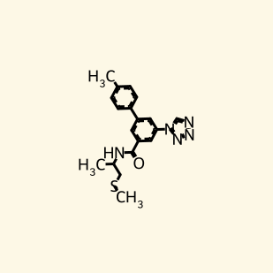 CSCC(C)NC(=O)c1cc(-c2ccc(C)cc2)cc(-n2cnnn2)c1